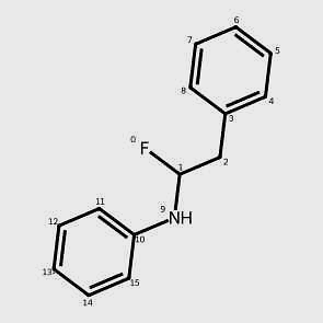 FC(Cc1ccccc1)Nc1cc[c]cc1